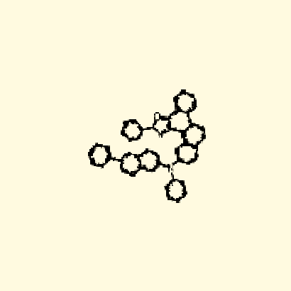 c1ccc(-c2ccc3cc(N(c4ccccc4)c4ccc5ccc6c7ccccc7c7oc(-c8ccccc8)nc7c6c5c4)ccc3c2)cc1